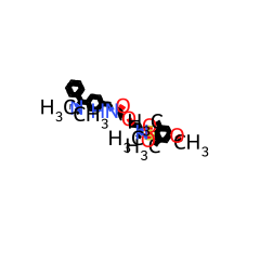 COc1cc(C)c(S(=O)(=O)N(C)CCOCC(=O)NCC2CCC(C(c3ccccc3)N(C)C)CC2)c(C)c1